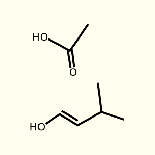 CC(=O)O.CC(C)C=CO